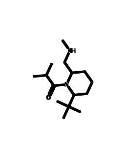 CNCC1CCCC(C(C)(C)C)N1C(=O)C(C)C